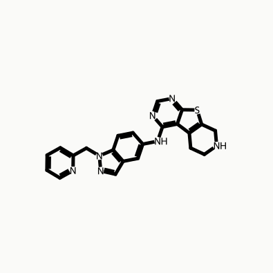 c1ccc(Cn2ncc3cc(Nc4ncnc5sc6c(c45)CCNC6)ccc32)nc1